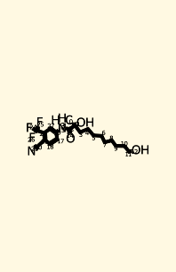 C[C@](O)(CCCCCCCCCO)C(=O)Nc1ccc(C#N)c(C(F)(F)F)c1